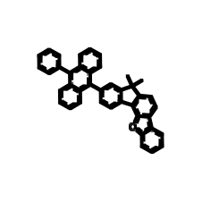 CC1(C)c2cc(-c3c4ccccc4c(-c4ccccc4)c4ccccc34)ccc2-c2c1ccc1c2oc2ccccc21